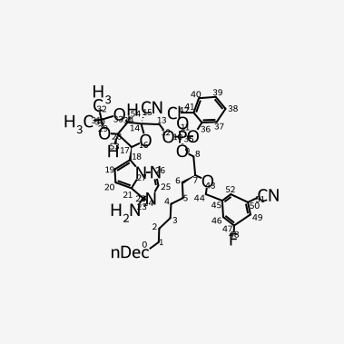 CCCCCCCCCCCCCCCC[C@@H](COP(=O)(OC[C@@]1(C#N)O[C@@H](c2ccc3c(N)ncnn23)[C@@H]2OC(C)(C)O[C@@H]21)Oc1ccccc1Cl)OCc1cc(F)cc(C#N)c1